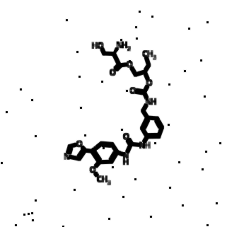 CCC(COC(=O)[C@H](N)CO)OC(=O)NCc1cccc(NC(=O)Nc2ccc(-c3cnco3)c(OC)c2)c1